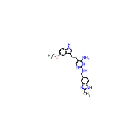 COc1ccc2[nH]cc(CCc3cnc(NCc4ccc5[nH]c(C)nc5c4)nc3N)c2c1